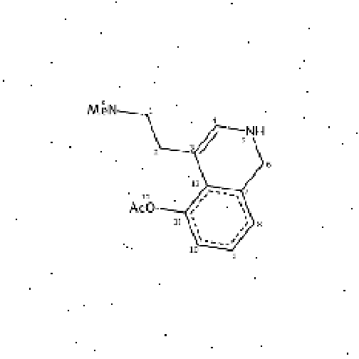 CNCCC1=CNCc2cccc(OC(C)=O)c21